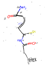 CCCCCCCC(=O)NC(S)/C=C/C(N)=O